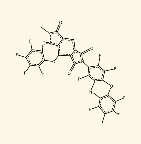 Cc1c(F)c(F)c(Oc2c(F)c(F)c(-n3c(=O)c4cc5c(=O)n(C)c(=O)c5c(Oc5c(F)c(F)c(F)c(F)c5F)c4c3=O)c(F)c2F)c(F)c1F